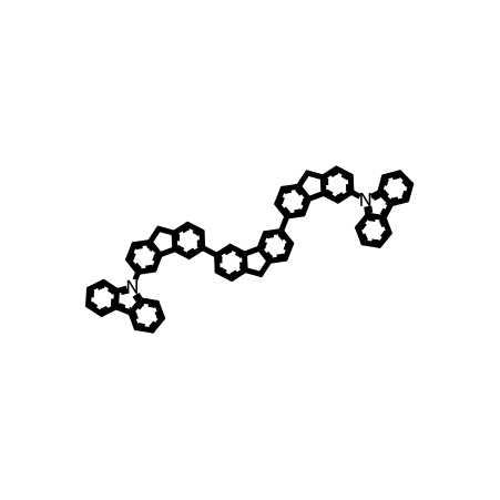 c1ccc2c(c1)c1ccccc1n2-c1ccc2c(c1)-c1cc(-c3ccc4c(c3)-c3cc(-c5ccc6c(c5)-c5cc(-n7c8ccccc8c8ccccc87)ccc5C6)ccc3C4)ccc1C2